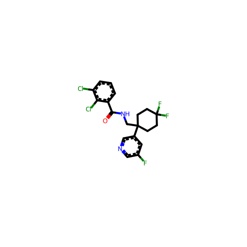 O=C(NCC1(c2cncc(F)c2)CCC(F)(F)CC1)c1cccc(Cl)c1Cl